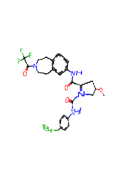 CO[C@@H]1C[C@H](C(=O)Nc2ccc3c(c2)CCN(C(=O)C(F)(F)F)CC3)N(C(=O)Nc2ccc(Br)cc2)C1